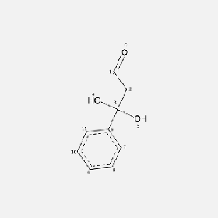 O=[C]CC(O)(O)c1ccccc1